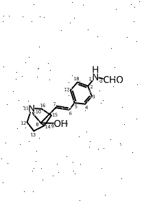 O=CNc1ccc(/C=C/C2(O)CN3CCC2CC3)cc1